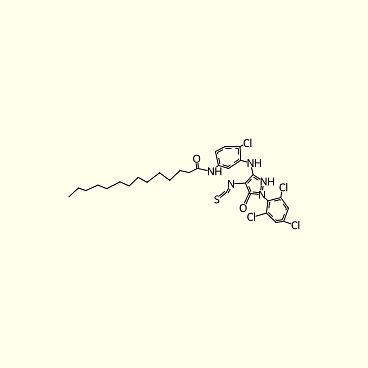 CCCCCCCCCCCCCC(=O)Nc1ccc(Cl)c(Nc2[nH]n(-c3c(Cl)cc(Cl)cc3Cl)c(=O)c2N=C=S)c1